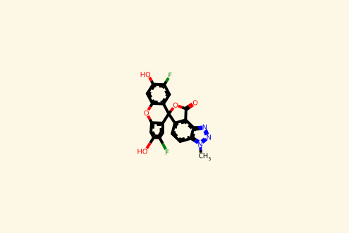 Cn1nnc2c3c(ccc21)C1(OC3=O)c2cc(F)c(O)cc2Oc2cc(O)c(F)cc21